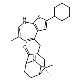 CC1=CNc2sc(C3CCCCC3)cc2C(CC2C[C@@H](C)C3CCC(NC3)C2=O)=N1